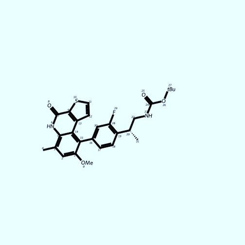 COc1cc(C)c2[nH]c(=O)c3sccc3c2c1-c1ccc([C@@H](C)CNC(=O)OC(C)(C)C)c(F)c1